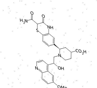 COc1ccc2nccc(C(O)CN3CCC(C(=O)O)C[C@@H]3c3ccc4c(c3)NC(=O)C(C(N)=O)S4)c2c1